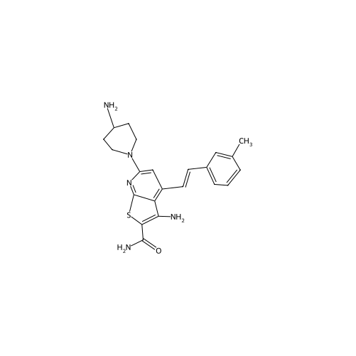 Cc1cccc(C=Cc2cc(N3CCC(N)CC3)nc3sc(C(N)=O)c(N)c23)c1